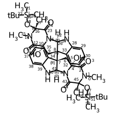 CN1C(=O)[C@]2(O)C[C@]3([C@]45C[C@@]6(O)C(=O)N(C)[C@](C)(O[Si](C)(C)C(C)(C)C)C(=O)N6[C@H]4Nc4ccccc45)c4ccccc4N[C@@H]3N2C(=O)C1(C)O[Si](C)(C)C(C)(C)C